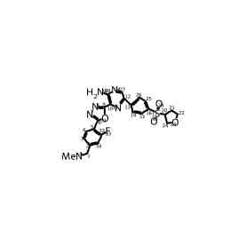 CNCc1ccc(-c2nnc(-c3nc(-c4ccc(S(=O)(=O)C5CCOC5)cc4)cnc3N)o2)c(F)c1